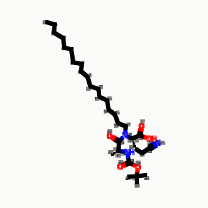 CCCCCCCCCCCCCCCCCCN(C(=O)[C@@H](C)NC(=O)OC(C)(C)C)[C@@H](CCC#N)C(=O)O